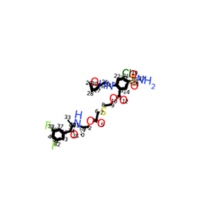 C[C@@H](COC(=O)CSCCOC(=O)c1cc(S(N)(=O)=O)c(Cl)cc1NCc1ccco1)N[C@H](C)C(=O)c1cc(F)cc(F)c1